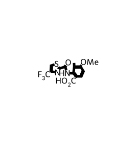 COc1ccc(C(=O)O)c(NC(=O)c2nc(C(F)(F)F)cs2)c1C